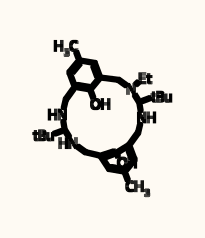 CCN1Cc2cc(C)cc(c2O)CNC(C(C)(C)C)NCc2cc(C)cc(c2O)CNC1C(C)(C)C